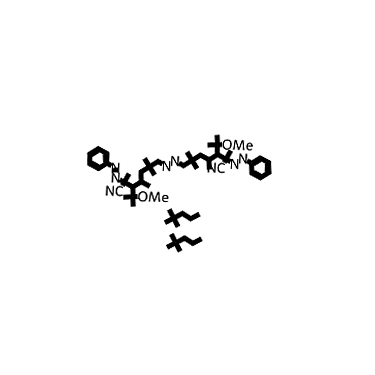 CCCC(C)(C)C.CCCC(C)(C)C.COC(C)(C)C(C(C)CC(C)(C)CN=NCC(C)(C)CC(C)C(C(C)(C#N)N=Nc1ccccc1)C(C)(C)OC)C(C)(C#N)N=Nc1ccccc1